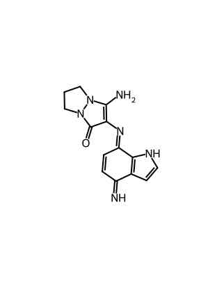 N=C1C=C/C(=N\c2c(N)n3n(c2=O)CCC3)c2[nH]ccc21